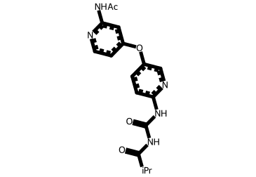 CC(=O)Nc1cc(Oc2ccc(NC(=O)NC(=O)C(C)C)nc2)ccn1